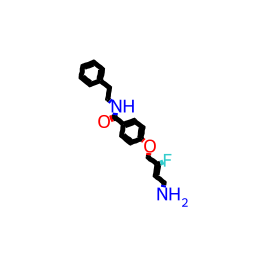 NC/C=C(\F)COc1ccc(C(=O)NCCc2ccccc2)cc1